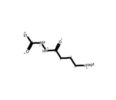 CCCCCCCCCCC(=O)NNC(=O)CC